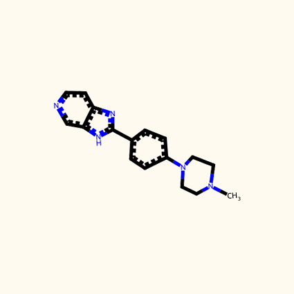 CN1CCN(c2ccc(-c3nc4ccncc4[nH]3)cc2)CC1